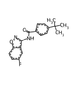 CC(C)(C)c1ccc(C(=O)Nc2noc3ccc(F)cc23)cc1